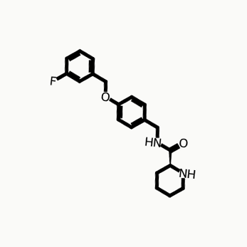 O=C(NCc1ccc(OCc2cccc(F)c2)cc1)[C@@H]1CCCCN1